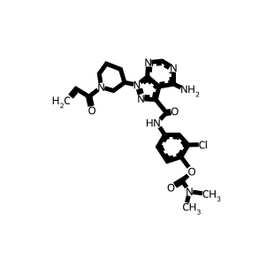 C=CC(=O)N1CCCC(n2nc(C(=O)Nc3ccc(OC(=O)N(C)C)c(Cl)c3)c3c(N)ncnc32)C1